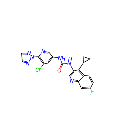 O=C(Nc1cnc(-n2nccn2)c(Cl)c1)Nc1cnc2cc(F)ccc2c1C1CC1